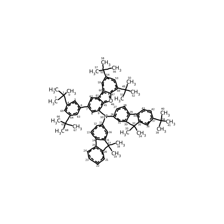 CC(C)(C)c1cc(-c2cc(N(c3ccc4c(c3)C(C)(C)c3ccccc3-4)c3ccc4c(c3)C(C)(C)c3cc(C(C)(C)C)ccc3-4)c3oc4c(C(C)(C)C)cc(C(C)(C)C)cc4c3c2)cc(C(C)(C)C)c1